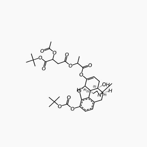 CC(=O)OC(CC(=O)OC(C)C(=O)OC1=CC[C@@]2(O)[C@H]3Cc4ccc(OC(=O)OC(C)(C)C)c5c4[C@@]2(CCN3C)[C@H]1O5)C(=O)OC(C)(C)C